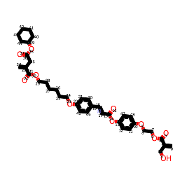 C=C(CO)C(=O)OCCOc1ccc(OC(=O)/C=C/c2ccc(OCCCCCCOC(=O)C(=C)CC(=O)OC3CCCCC3)cc2)cc1